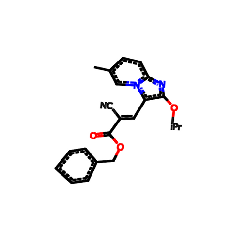 Cc1ccc2nc(OC(C)C)c(C=C(C#N)C(=O)OCc3ccccc3)n2c1